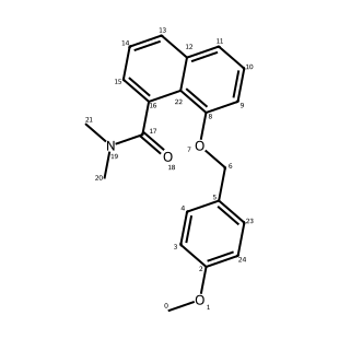 COc1ccc(COc2cccc3cccc(C(=O)N(C)C)c23)cc1